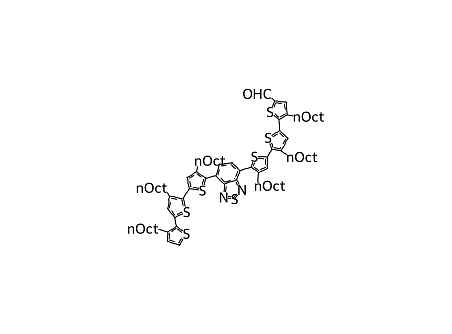 CCCCCCCCc1ccsc1-c1cc(CCCCCCCC)c(-c2cc(CCCCCCCC)c(-c3ccc(-c4sc(-c5sc(-c6sc(C=O)cc6CCCCCCCC)cc5CCCCCCCC)cc4CCCCCCCC)c4nsnc34)s2)s1